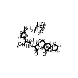 CON=C(C(=O)N[C@@H]1C(=O)N2C(C(=O)[O-])=C(C[N+]3(C)CCCC3)CS[C@H]12)c1csc(N)n1.Cl.Cl.O.O